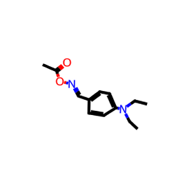 CCN(CC)c1ccc(/C=N/OC(C)=O)cc1